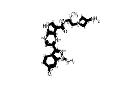 C[C@H](CN1CC(N)C1)NC(=O)c1c[nH]c2ncc(-c3nn(C)c4cc(Cl)ccc34)nc12